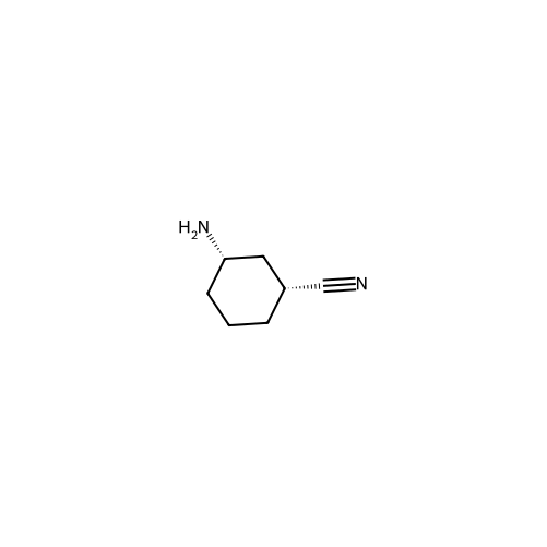 N#C[C@@H]1CCC[C@H](N)C1